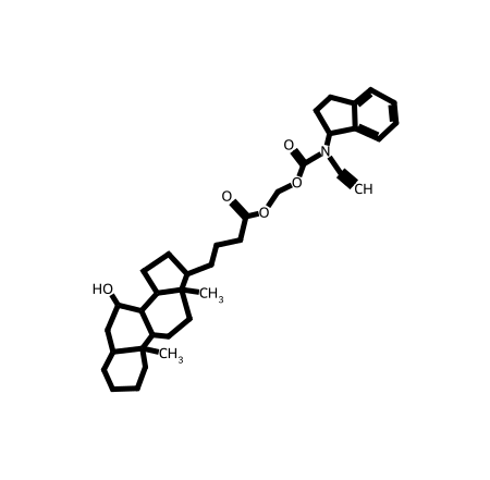 C#CN(C(=O)OCOC(=O)CCCC1CCC2C3C(O)CC4CCCCC4(C)C3CCC12C)C1CCc2ccccc21